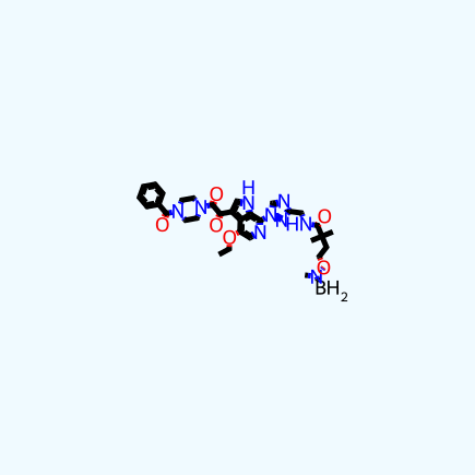 BN(C)OCCC(C)(C)C(=O)NCc1ncn(-c2ncc(OCC)c3c(C(=O)C(=O)N4CCN(C(=O)c5ccccc5)CC4)c[nH]c23)n1